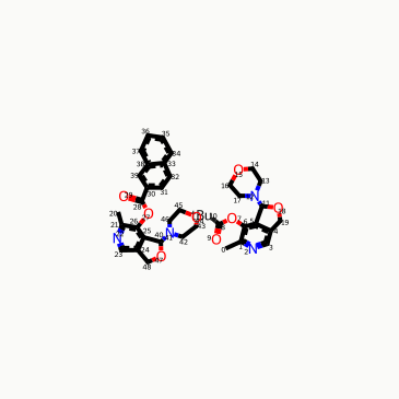 Cc1ncc2c(c1OC(=O)C(C)(C)C)C(N1CCOCC1)OC2.Cc1ncc2c(c1OC(=O)c1ccc3ccccc3c1)C(N1CCOCC1)OC2